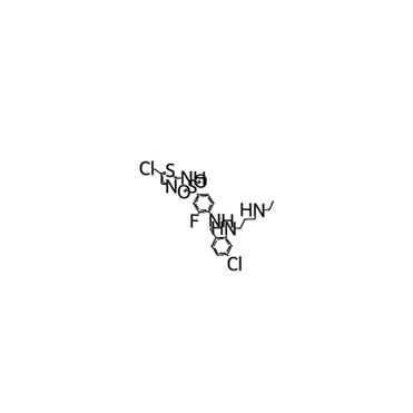 CCNCCCNc1cc(Cl)ccc1CNc1ccc(S(=O)(=O)Nc2ncc(Cl)s2)cc1F